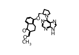 COC=C1CCc2c(OC[C@H]3CCCN3c3ncnc4[nH]cnc34)cccc2C1=O